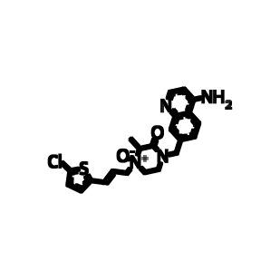 CC1C(=O)N(Cc2ccc3c(N)ccnc3c2)CC[N+]1([O-])CC=Cc1ccc(Cl)s1